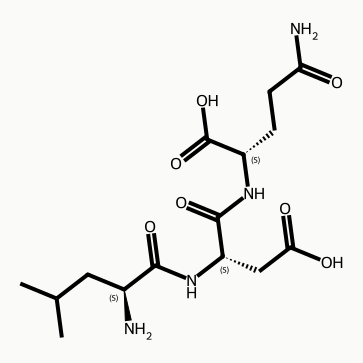 CC(C)C[C@H](N)C(=O)N[C@@H](CC(=O)O)C(=O)N[C@@H](CCC(N)=O)C(=O)O